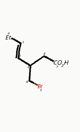 CCC=CC(CBr)CC(=O)O